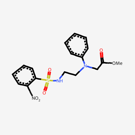 COC(=O)CN(CCNS(=O)(=O)c1ccccc1[N+](=O)[O-])c1ccccc1